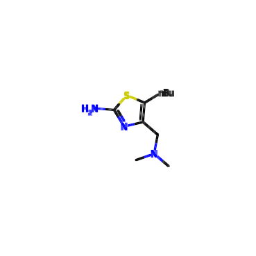 CCCCc1sc(N)nc1CN(C)C